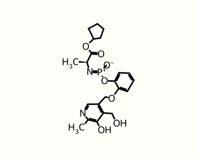 Cc1ncc(COc2ccccc2O[P+]([O-])=N[C@@H](C)C(=O)OC2CCCC2)c(CO)c1O